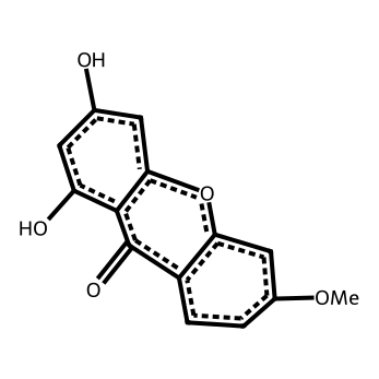 COc1ccc2c(=O)c3c(O)cc(O)cc3oc2c1